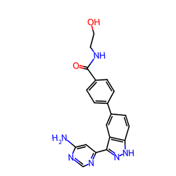 Nc1cc(-c2n[nH]c3ccc(-c4ccc(C(=O)NCCO)cc4)cc23)ncn1